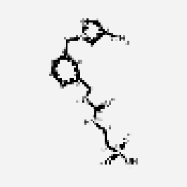 Cc1cnn(Cc2cccc(COC(=O)NCCS(=O)(=O)O)c2)c1